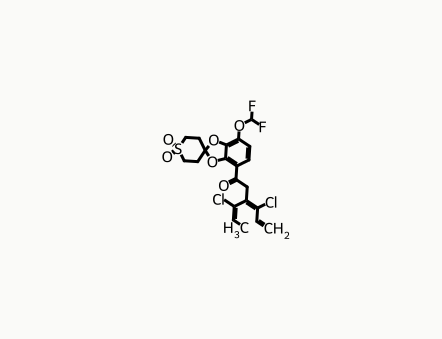 C=C/C(Cl)=C(CC(=O)c1ccc(OC(F)F)c2c1OC1(CCS(=O)(=O)CC1)O2)\C(Cl)=C/C